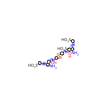 Nc1ccc(N=Nc2cccc(S(=O)(=O)O)c2)c2ccc(N=Nc3ccc(S(=O)(=O)c4ccc(N=Nc5c(S(=O)(=O)O)cc6c(N=Nc7cccc(S(=O)(=O)O)c7)ccc(N)c6c5O)cc4)cc3)c(O)c12